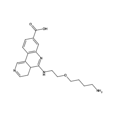 NCCCCOCCNC1=Nc2cc(C(=O)O)ccc2C2=CN=CCC21